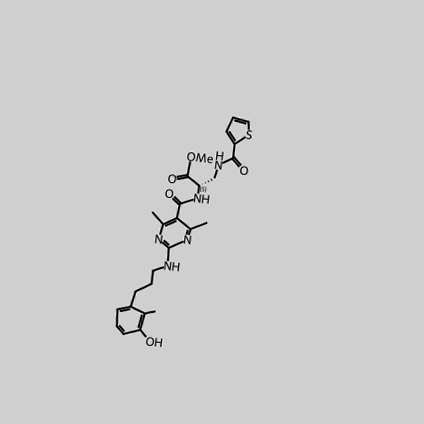 COC(=O)[C@H](CNC(=O)c1cccs1)NC(=O)c1c(C)nc(NCCCc2cccc(O)c2C)nc1C